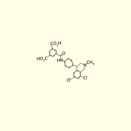 CN1Cc2c(Cl)cc(Cl)cc2C(c2ccc(NC(=O)c3cc(C(=O)O)cc(C(=O)O)c3)cc2)C1